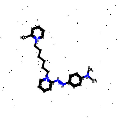 Cc1cccc[n+]1CCCCCC[n+]1ccccc1/N=N/c1ccc(N(C)C)cc1